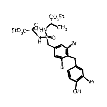 CCOC(=O)[C@H](C)NP(=O)(Cc1cc(Br)c(Cc2ccc(O)c(C(C)C)c2)c(Br)c1)N[C@@H](C)C(=O)OCC